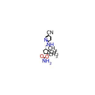 CC1(C)[C@@H](CNc2ccc(C#N)cn2)CC[C@@]1(C)OC(N)=O